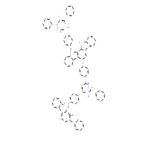 c1ccc(-c2cc(-c3ccccc3)nc(-c3ccc(-n4c5ccccc5c5c(-c6ccc(-c7cc(-c8ccc(-n9c%10ccccc%10c%10ccc%11c%12ccccc%12oc%11c%109)cc8)nc(-c8ccccc8)n7)cc6)cc6c7ccccc7oc6c54)cc3)n2)cc1